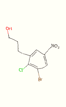 O=[N+]([O-])c1cc(Br)c(Cl)c(CCCO)c1